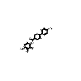 CCCc1ccc(C2CCC(C(=O)Oc3ccc(C#N)c(F)c3F)CC2)cc1